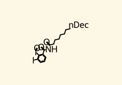 CCCCCCCCCCCCCCCCCC(=O)NC(=O)c1cccc(I)c1I=O